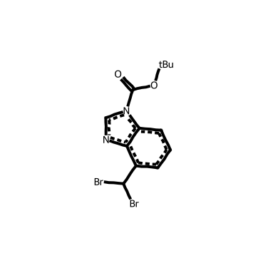 CC(C)(C)OC(=O)n1cnc2c(C(Br)Br)cccc21